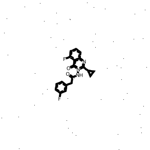 O=C(Cc1cccc(F)c1)Nn1c(C2CC2)nc2cccc(F)c2c1=O